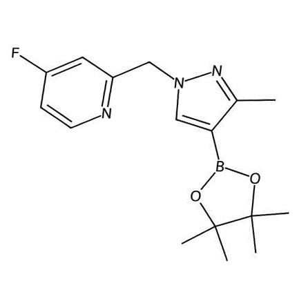 Cc1nn(Cc2cc(F)ccn2)cc1B1OC(C)(C)C(C)(C)O1